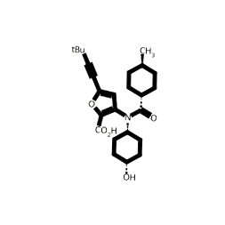 CC(C)(C)C#Cc1cc(N(C(=O)[C@H]2CC[C@H](C)CC2)[C@H]2CC[C@@H](O)CC2)c(C(=O)O)o1